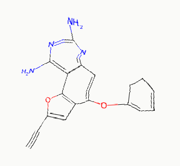 C#Cc1cc2c(OC3=CC=CCC3)cc3nc(N)nc(N)c3c2o1